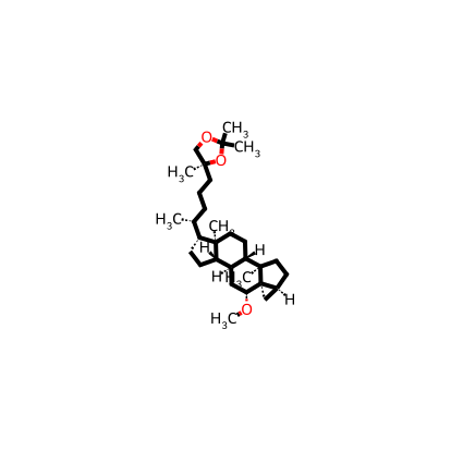 CO[C@@H]1C[C@H]2[C@@H]3CC[C@H]([C@H](C)CCC[C@@]4(C)COC(C)(C)O4)[C@@]3(C)CC[C@@H]2[C@@]2(C)CC[C@H]3C[C@]312